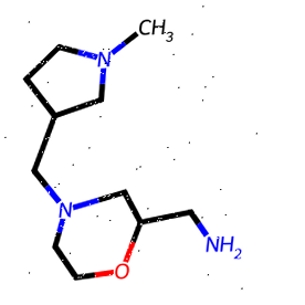 CN1CCC(CN2CCOC(CN)C2)C1